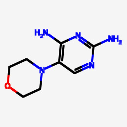 Nc1ncc(N2CCOCC2)c(N)n1